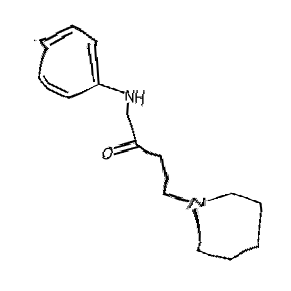 O=C(CCN1CCCCC1)Nc1cc[c]cc1